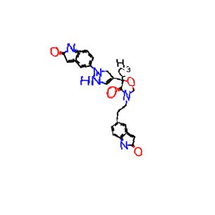 CC1(C2=CNN(c3ccc4c(c3)=CC(=O)N=4)C2)OCN(CCc2ccc3c(c2)=CC(=O)N=3)C1=O